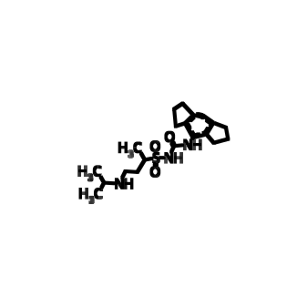 CC(C)NCCC(C)S(=O)(=O)NC(=O)Nc1c2c(cc3c1CCC3)CCC2